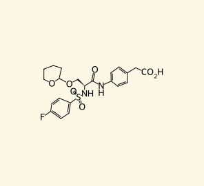 O=C(O)Cc1ccc(NC(=O)[C@H](COC2CCCCO2)NS(=O)(=O)c2ccc(F)cc2)cc1